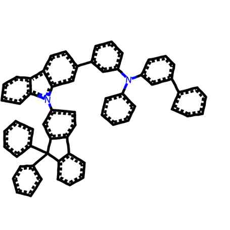 c1ccc(-c2cccc(N(c3ccccc3)c3cccc(-c4ccc5c6ccccc6n(-c6ccc7c(c6)C(c6ccccc6)(c6ccccc6)c6ccccc6-7)c5c4)c3)c2)cc1